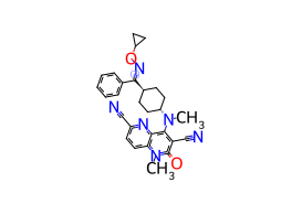 Cn1c(=O)c(C#N)c(N(C)[C@H]2CC[C@H](/C(=N/OC3CC3)c3ccccc3)CC2)c2nc(C#N)ccc21